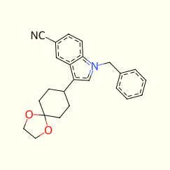 N#Cc1ccc2c(c1)c(C1CCC3(CC1)OCCO3)cn2Cc1ccccc1